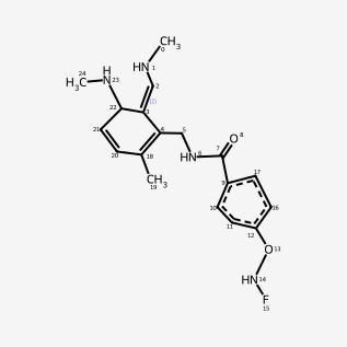 CN/C=C1/C(CNC(=O)c2ccc(ONF)cc2)=C(C)C=CC1NC